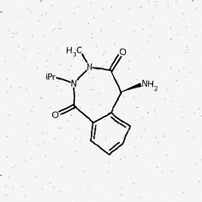 CC(C)N1C(=O)c2ccccc2[C@H](N)C(=O)N1C